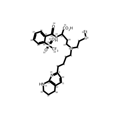 CCOCCN(CCCCc1ccc2c(n1)NCCC2)CCC(NC(=O)c1ccccc1S(=O)(=O)C(F)(F)F)C(=O)O